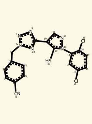 N#Cc1ccc(Cn2nnc(-c3cnn(-c4cc(Cl)ccc4Cl)c3S)n2)cc1